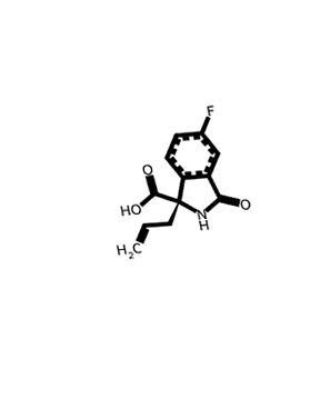 C=CC[C@]1(C(=O)O)NC(=O)c2cc(F)ccc21